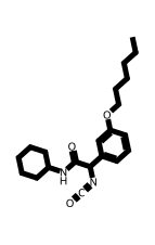 CCCCCCOc1cccc(C(N=C=O)C(=O)NC2CCCCC2)c1